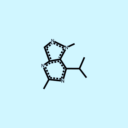 Cc1nc(C(C)C)c2c(cnn2C)n1